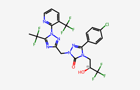 CC(F)(F)c1nc(Cn2nc(-c3ccc(Cl)cc3)n(C[C@H](O)C(F)(F)F)c2=O)nn1-c1ncccc1C(F)(F)F